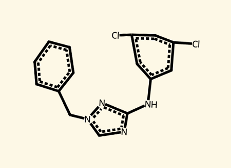 Clc1cc(Cl)cc(Nc2ncn(Cc3ccccc3)n2)c1